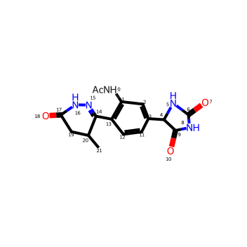 CC(=O)Nc1cc(C2NC(=O)NC2=O)ccc1C1=NNC(=O)CC1C